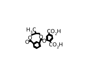 CC1COC(=O)c2cccc(c2)C(=O)OC1.O=C(O)c1ccc(C(=O)O)cc1